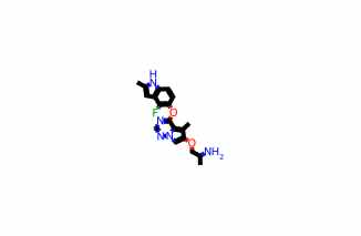 Cc1cc2c(F)c(Oc3ncnn4cc(OCC(C)N)c(C)c34)ccc2[nH]1